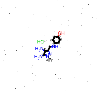 CC(C)n1nc(CNc2ccc(O)cc2)c(N)c1N.Cl